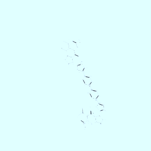 CCN(CC)[C@H](CC(N)=O)C(=O)N1CCC[C@H]1c1ncc(-c2ccc(-c3ccc(-c4cnc([C@@H]5CCCN5C(=O)[C@H](C(C)C)N(C)C(=O)O)[nH]4)cc3)cc2)[nH]1